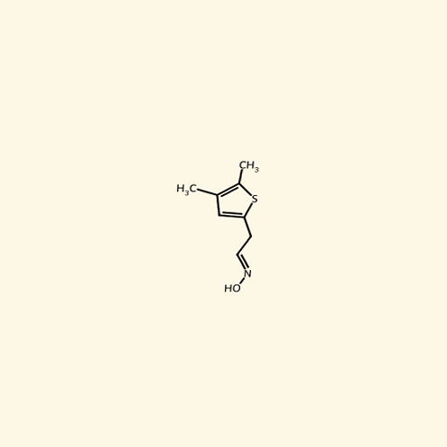 Cc1cc(CC=NO)sc1C